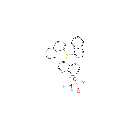 O=S(=O)([O-])C(F)(F)F.c1ccc2c([S+](c3cccc4ccccc34)c3cccc4ccccc34)cccc2c1